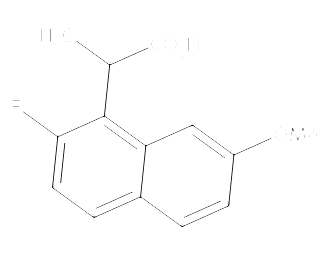 COc1ccc2ccc(F)c(C(C)C(=O)O)c2c1